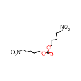 O=C(OCCCCC[N+](=O)[O-])OCCCCC[N+](=O)[O-]